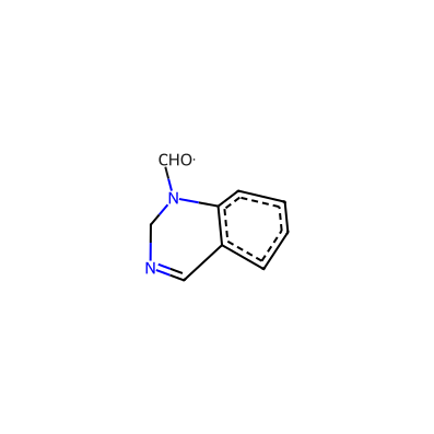 O=[C]N1CN=Cc2ccccc21